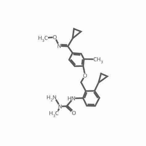 CON=C(c1ccc(OCc2c(NC(=O)N(C)N)cccc2C2CC2)c(C)c1)C1CC1